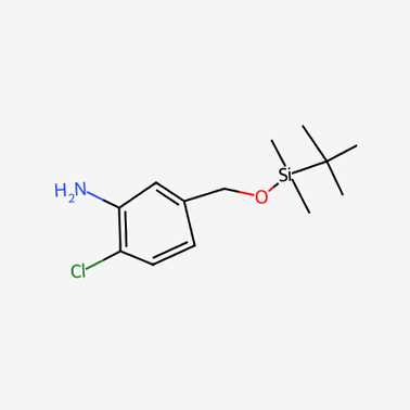 CC(C)(C)[Si](C)(C)OCc1ccc(Cl)c(N)c1